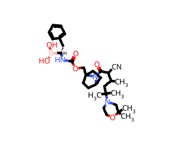 CC(CC(C)(C)N1CCOC(C)(C)C1)C(C#N)C(=O)N1C2CCC1(COC(=O)N[C@@H](Cc1ccccc1)B(O)O)CC2